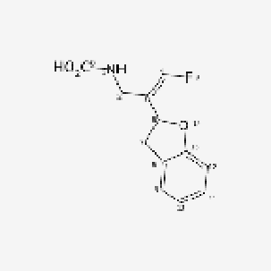 O=C(O)NC/C(=C/F)C1Cc2ccccc2O1